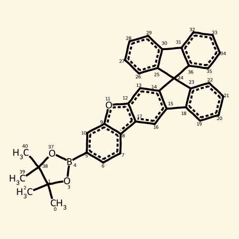 CC1(C)OB(c2ccc3c(c2)oc2cc4c(cc23)-c2ccccc2C42c3ccccc3-c3ccccc32)OC1(C)C